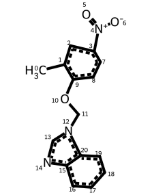 Cc1cc([N+](=O)[O-])ccc1OCn1cnc2ccccc21